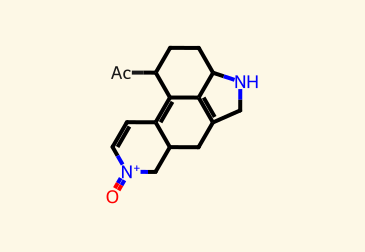 CC(=O)C1CCC2NCC3=C2C1=C1C=C[N+](=O)CC1C3